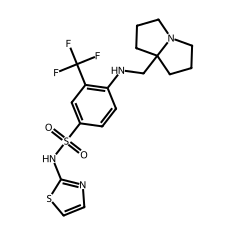 O=S(=O)(Nc1nccs1)c1ccc(NCC23CCCN2CCC3)c(C(F)(F)F)c1